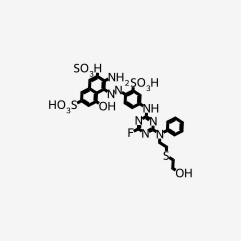 Nc1c(S(=O)(=O)O)cc2cc(S(=O)(=O)O)cc(O)c2c1/N=N/c1ccc(Nc2nc(F)nc(N(CCSCCO)c3ccccc3)n2)cc1S(=O)(=O)O